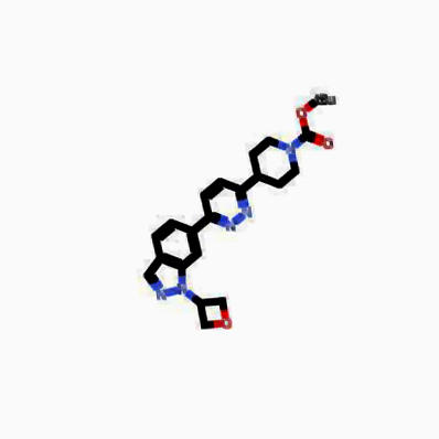 CC(C)(C)OC(=O)N1CCC(c2ccc(-c3ccc4cnn(C5COC5)c4c3)nn2)CC1